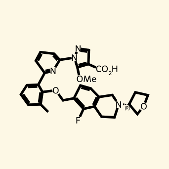 COc1c(C(=O)O)cnn1-c1cccc(-c2cccc(C)c2OCc2ccc3c(c2F)CCN([C@@H]2CCOC2)C3)n1